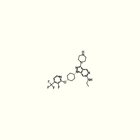 CCNc1cc2c(cn1)c(N1CCNCC1)nn2[C@H]1CC[C@@H](Oc2nccc(C(F)(F)F)c2F)CC1